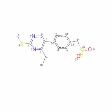 CCc1nc(SC)ncc1-c1ccc(C[SH](=O)=O)cc1